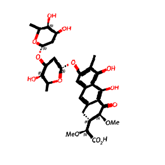 CO[C@H](C(=O)O)[C@@H]1Cc2cc3cc(O[C@H]4CC(O[C@H]5CC(O)[C@H](O)C(C)O5)[C@H](O)C(C)O4)c(C)c(O)c3c(O)c2C(=O)[C@H]1OC